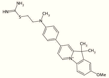 COc1ccc2c(c1)C(C)(C)c1cc(-c3ccc(N(C)CCSC(=N)N)cc3)cc[n+]1-2